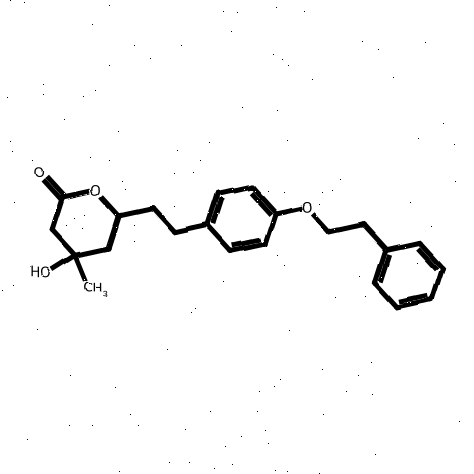 CC1(O)CC(=O)OC(CCc2ccc(OCCc3ccccc3)cc2)C1